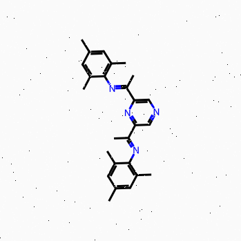 CC(=Nc1c(C)cc(C)cc1C)c1cncc(C(C)=Nc2c(C)cc(C)cc2C)n1